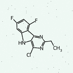 CCc1nc(Cl)c2[nH]c3cc(F)cc(F)c3c2n1